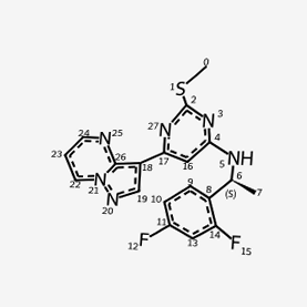 CSc1nc(N[C@@H](C)c2ccc(F)cc2F)cc(-c2cnn3cccnc23)n1